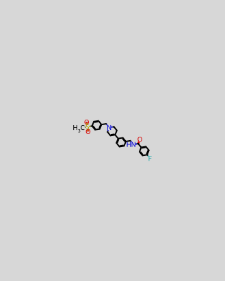 CS(=O)(=O)c1ccc(CN2CC=C(c3cccc(CNC(=O)c4ccc(F)cc4)c3)CC2)cc1